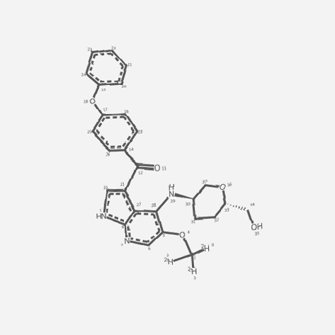 [2H]C([2H])([2H])Oc1cnc2[nH]cc(C(=O)c3ccc(Oc4ccccc4)cc3)c2c1N[C@@H]1CC[C@@H](CO)OC1